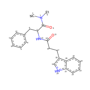 CCN(C#N)C(=O)C(Cc1ccccc1)NC(=O)CCc1c[nH]c2ccccc12